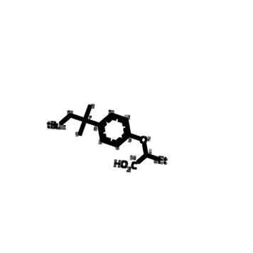 CCC(Oc1ccc(C(C)(C)CC(C)(C)C)cc1)C(=O)O